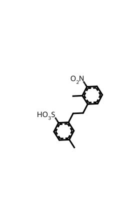 Cc1ccc(S(=O)(=O)O)c(CCc2cccc([N+](=O)[O-])c2C)c1